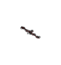 CC(=O)N1CCN(CCCOc2ccc(C3=CC(C(c4ccccc4)N4CCC(c5ccc(OCCCN6CCN(C(C)=O)CC6)cc5)CC4)NCC3)cc2)CC1